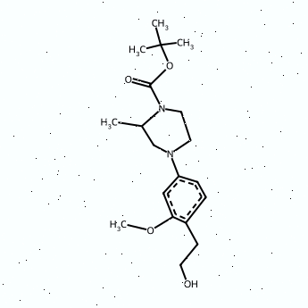 COc1cc(N2CCN(C(=O)OC(C)(C)C)C(C)C2)ccc1CCO